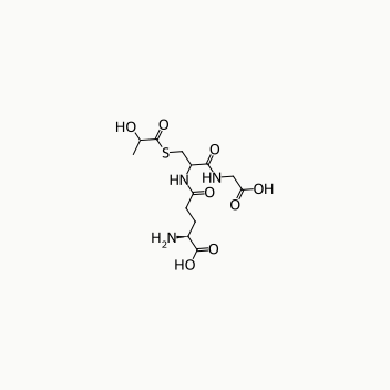 CC(O)C(=O)SCC(NC(=O)CC[C@H](N)C(=O)O)C(=O)NCC(=O)O